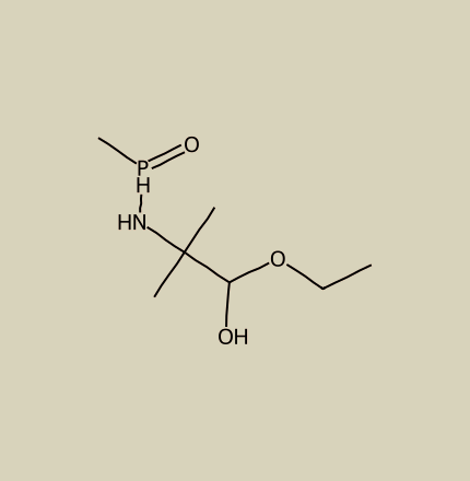 CCOC(O)C(C)(C)N[PH](C)=O